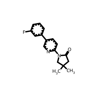 CC1(C)CC(=O)N(c2ccc(-c3cccc(F)c3)cn2)C1